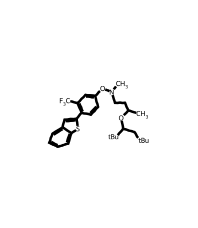 CC(CCN(C)Oc1ccc(-c2cc3ccccc3s2)c(C(F)(F)F)c1)OC(CC(C)(C)C)C(C)(C)C